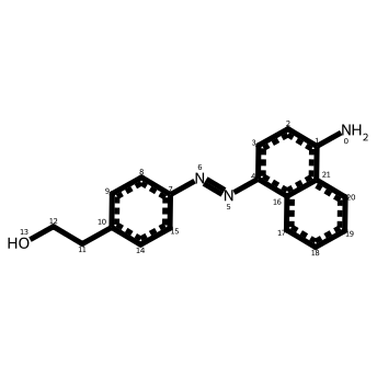 Nc1ccc(/N=N/c2ccc(CCO)cc2)c2ccccc12